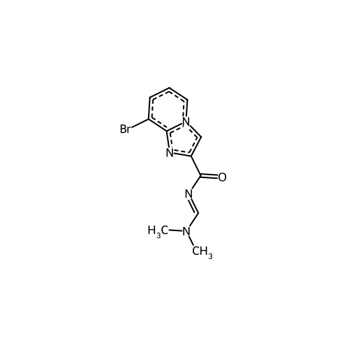 CN(C)C=NC(=O)c1cn2cccc(Br)c2n1